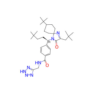 CC(C)(C)CC[C@H](c1ccc(C(=O)NCc2nn[nH]n2)cc1)N1C(=O)C(CC(C)(C)C)=NC12CCC(C(C)(C)C)CC2